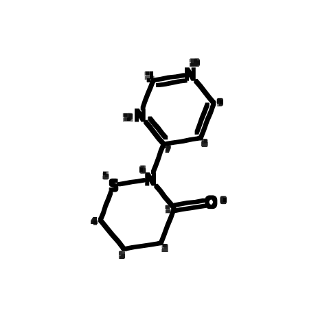 O=C1CCCSN1c1ccn[c]n1